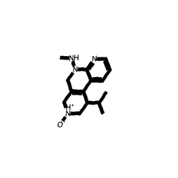 CNN1CC2=C(c3cccnc31)C(C(C)C)C[NH+]([O-])C2